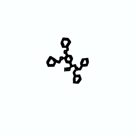 O[C@@H](CN(Cc1ccccc1)Cc1ccccc1)c1ccc(OCc2ccccc2)c(OCc2ccccc2)c1